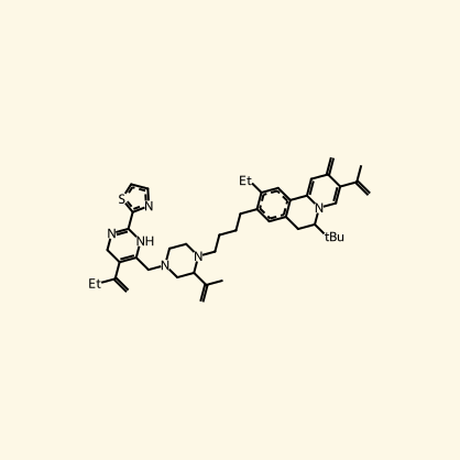 C=C(C)C1=CN2C(=CC1=C)c1cc(CC)c(CCCCN3CCN(CC4=C(C(=C)CC)CN=C(c5nccs5)N4)CC3C(=C)C)cc1CC2C(C)(C)C